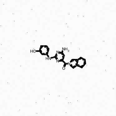 Nc1cc(C(=O)n2cc3ccccc3c2)nc(Nc2cccc(O)c2)n1